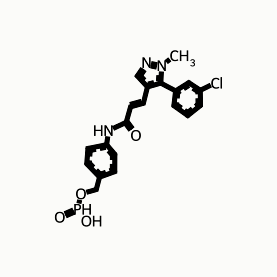 Cn1ncc(C=CC(=O)Nc2ccc(CO[PH](=O)O)cc2)c1-c1cccc(Cl)c1